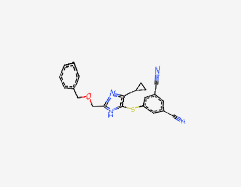 N#Cc1cc(C#N)cc(Sc2[nH]c(COCc3ccccc3)nc2C2CC2)c1